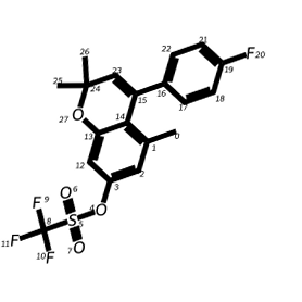 Cc1cc(OS(=O)(=O)C(F)(F)F)cc2c1C(c1ccc(F)cc1)=CC(C)(C)O2